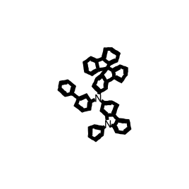 c1ccc(-c2cccc(N(c3ccc4c(c3)-c3ccccc3C43c4ccccc4-c4ccccc43)c3ccc4c5ccccc5n(-c5ccccc5)c4c3)c2)cc1